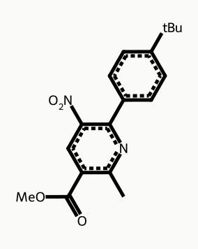 COC(=O)c1cc([N+](=O)[O-])c(-c2ccc(C(C)(C)C)cc2)nc1C